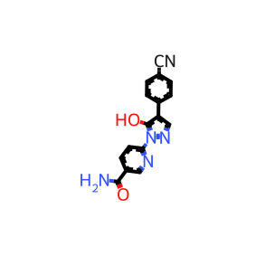 N#Cc1ccc(-c2cnn(-c3ccc(C(N)=O)cn3)c2O)cc1